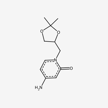 CC1(C)OCC(Cn2ccc(N)cc2=O)O1